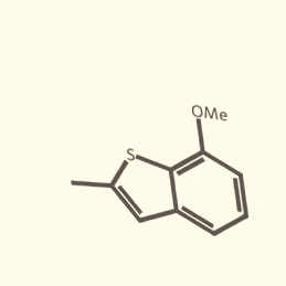 COc1cccc2cc(C)sc12